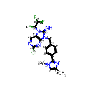 CC(C)n1cc(C(F)(F)F)nc1-c1ccc(Cn2c(=N)n(C(F)C(F)F)c3cnc(Cl)nc32)cc1